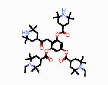 CCN1C(C)(C)CC(C(=O)Oc2cc(OC(=O)C3CC(C)(C)NC(C)(C)C3)c(CC(=O)C3CC(C)(C)NC(C)(C)C3)c(OC(=O)C3CC(C)(C)N(CC)C(C)(C)C3)c2)CC1(C)C